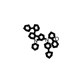 c1ccc(-c2ccc(N(c3ccc4c5c(-c6ccccc6-c6ccccc6)cccc5n(-c5ccccc5)c4c3)c3cccc4oc5ccccc5c34)cc2)cc1